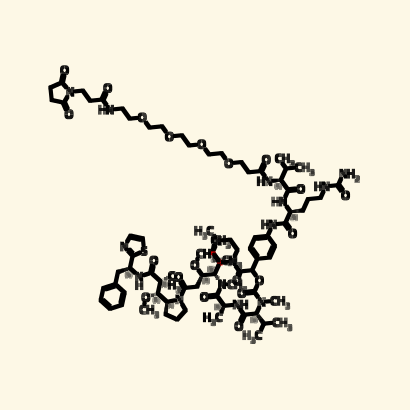 CC[C@H](C)[C@@H]([C@@H](CC(=O)N1CCC[C@H]1[C@H](OC)[C@@H](C)C(=O)N[C@@H](Cc1ccccc1)c1nccs1)OC)N(C)C(=O)[C@H](C)NC(=O)[C@H](C(C)C)N(C)C(=O)OC(C(=O)N1CCN(C)CC1)c1ccc(NC(=O)[C@H](CCCNC(N)=O)NC(=O)[C@@H](NC(=O)CCOCCOCCOCCOCCNC(=O)CCN2C(=O)CCC2=O)C(C)C)cc1